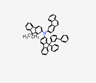 CC1(C)c2ccccc2-c2ccc(N(c3ccc4c(c3)C(c3ccccc3)(c3cccc(-c5ccccc5)c3)c3ccccc3-4)c3ccc4ccc5ccccc5c4c3)cc21